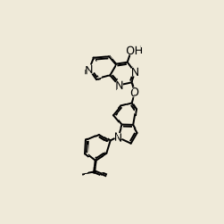 C=C(C)c1cccc(-n2ccc3cc(Oc4nc(O)c5ccncc5n4)ccc32)c1